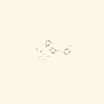 CNCC(CN(CC=O)C(=O)OC(C)(C)C)Oc1cc(-c2c(C)cccc2C)nc(NSc2cccc(CBr)c2)n1